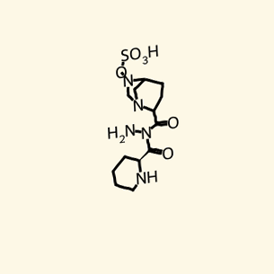 NN(C(=O)C1CCC2CN1CN2OS(=O)(=O)O)C(=O)[C@@H]1CCCCN1